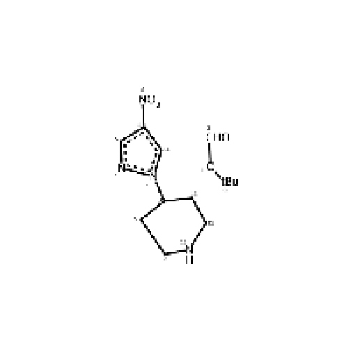 CC(C)(C)OC=O.O=[N+]([O-])c1cnn(C2CCNCC2)c1